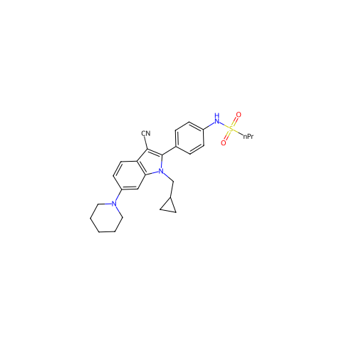 CCCS(=O)(=O)Nc1ccc(-c2c(C#N)c3ccc(N4CCCCC4)cc3n2CC2CC2)cc1